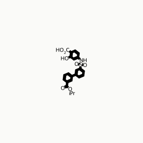 CC(C)OC(=O)c1cccc(-c2cccc(S(=O)(=O)Nc3ccc(C(=O)O)c(O)c3)c2)c1